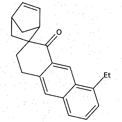 CCc1cccc2cc3c(cc12)C(=O)C1(CC3)CC2C=CC1C2